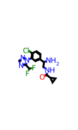 NC(CNC(=O)C1CC1)c1ccc(Cl)c(-n2ncnc2C(F)F)c1